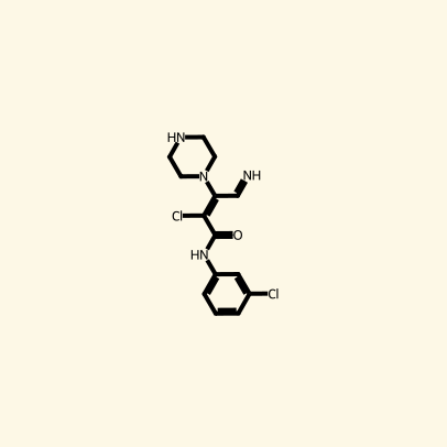 N=C/C(=C(/Cl)C(=O)Nc1cccc(Cl)c1)N1CCNCC1